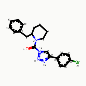 O=C(N1CCCCC1Cc1ccccc1)n1cc(-c2ccc(Br)cc2)nn1